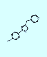 Clc1ccc(-c2cc(Cc3ccncc3)cs2)cc1